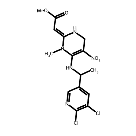 COC(=O)C=C1NCC([N+](=O)[O-])=C(NC(C)c2cnc(Cl)c(Cl)c2)N1C